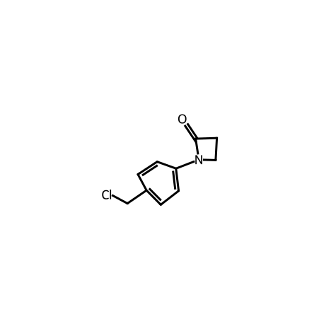 O=C1CCN1c1ccc(CCl)cc1